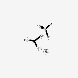 CC(C)O.O=[Si]([O-])[O-].[Na+].[Na+]